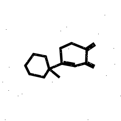 C=C1C=C(C2(C)CCCCC2)CCC1=C